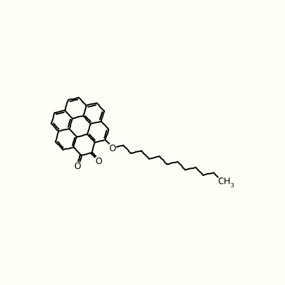 CCCCCCCCCCCCOc1cc2ccc3ccc4ccc5ccc6c(=O)c(=O)c1c1c2c3c4c5c61